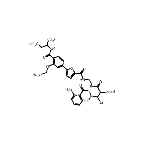 CCCCCC(C(=O)NCNC(=O)c1ccc(-c2ccc(C(=O)NC(CC(=O)O)C(=O)O)c(OCC(=O)O)c2)o1)[C@@H](CC)N(C=O)OC(=O)c1ccccc1N